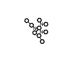 c1ccc(-c2ccc(-n3c4ccccc4c4c(N(c5ccccc5)c5cccc(-c6ccccc6)c5)cc(N(c5ccccc5)c5ccccc5)cc43)cc2)cc1